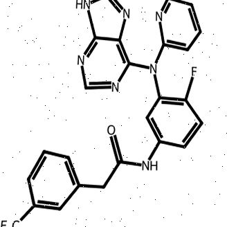 O=C(Cc1cccc(C(F)(F)F)c1)Nc1ccc(F)c(N(c2ccccn2)c2ncnc3[nH]cnc23)c1